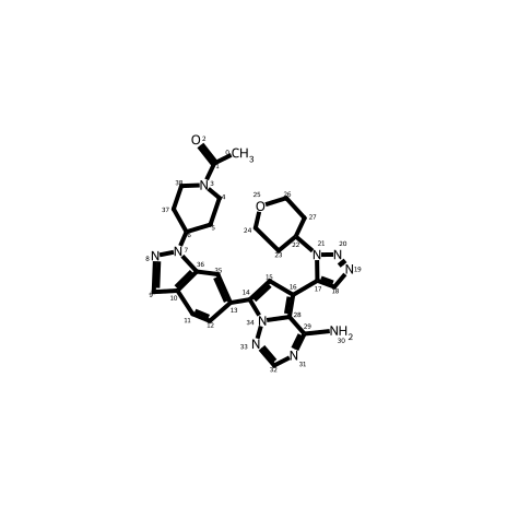 CC(=O)N1CCC(n2ncc3ccc(-c4cc(-c5cnnn5C5CCOCC5)c5c(N)ncnn45)cc32)CC1